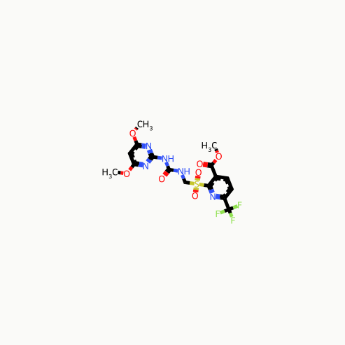 COC(=O)c1ccc(C(F)(F)F)nc1S(=O)(=O)CNC(=O)Nc1nc(OC)cc(OC)n1